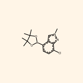 Cn1cc2c(B3OC(C)(C)C(C)(C)O3)ccc(Cl)c2n1